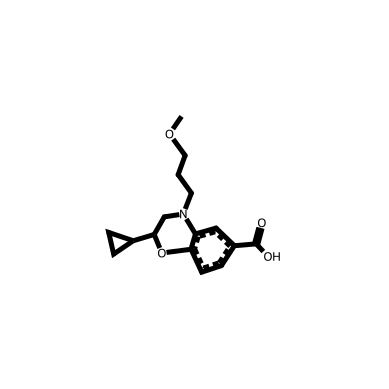 COCCCN1CC(C2CC2)Oc2ccc(C(=O)O)cc21